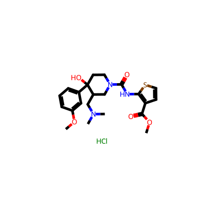 COC(=O)c1ccsc1NC(=O)N1CCC(O)(c2cccc(OC)c2)C(CN(C)C)C1.Cl